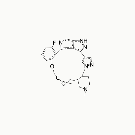 CN1CCC2C(COCCOc3cccc(F)c3-c3cc4c(n[nH]c4cn3)-c3cnn2c3)C1